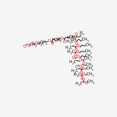 CCC(=O)OC.CCCC(=O)OC.CCCC(=O)OCC.CCCCOC(=O)CC.CCCCOC(C)=O.CCCCOC=O.CCCOC(=O)CC.CCCOC(C)=O.CCCOC=O.CCOC(=O)CC.CCOC(C)=O.CCOC=O.COC(C)=O.COC=O